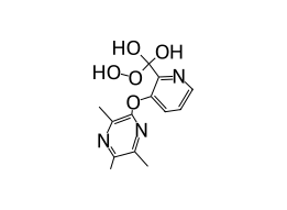 Cc1nc(C)c(Oc2cccnc2C(O)(O)OO)nc1C